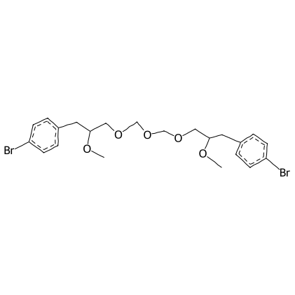 COC(COCOCOCC(Cc1ccc(Br)cc1)OC)Cc1ccc(Br)cc1